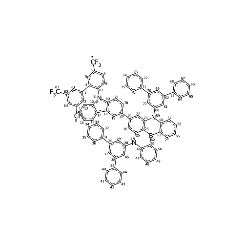 Cc1cc(-c2cc(C(F)(F)F)ccc2-n2c3ccccc3c3cc(-c4cc5c6c(c4)N(c4cc(-c7ccccc7)cc(-c7ccccc7)c4)c4ccccc4B6c4ccccc4N5c4cc(-c5ccccc5)cc(-c5ccccc5)c4)ccc32)cc(C(F)(F)F)c1